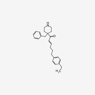 CCc1ccc(CCC/C=C/C(=O)C2(Cc3ccccc3)CCNCC2)cc1